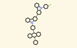 Fc1ccc(-n2c3ccccc3c3cc(-c4ccc5c(c4)c4ccccc4n5-c4ccc(-c5c6ccccc6c(-c6ccccc6)c6ccccc56)cc4)ccc32)cc1